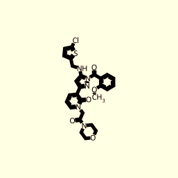 COc1ccccc1C(=O)n1nc(-c2cccn(CC(=O)N3CCOCC3)c2=O)cc1NCc1ccc(Cl)s1